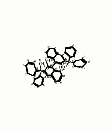 C[Si](c1ccccc1)(c1ccccc1)c1cc2ccccc2c(-c2c(O)c([Si](C)(c3ccccc3)c3ccccc3)cc3ccccc23)c1O